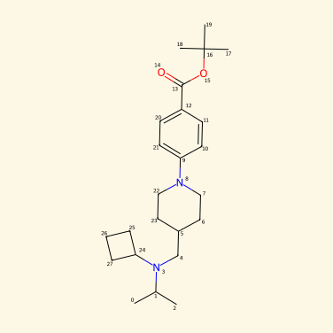 CC(C)N(CC1CCN(c2ccc(C(=O)OC(C)(C)C)cc2)CC1)C1CCC1